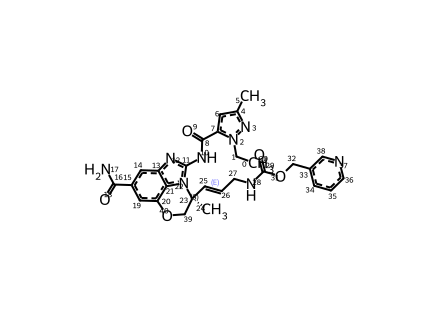 CCn1nc(C)cc1C(=O)Nc1nc2cc(C(N)=O)cc3c2n1[C@@](C)(/C=C/CNC(=O)OCc1cccnc1)CO3